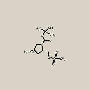 C[C@@H]1C[C@@H](COS(C)(=O)=O)N(C(=O)OC(C)(C)C)C1